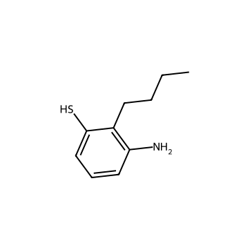 CCCCc1c(N)cccc1S